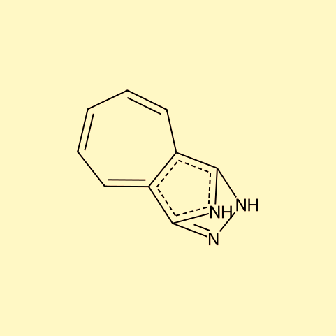 C1=CC=c2c(c3[nH]c2=NN3)C=C1